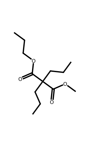 CCCOC(=O)C(CCC)(CCC)C(=O)OC